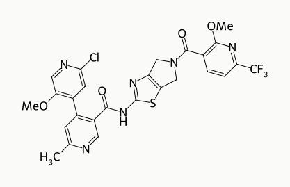 COc1cnc(Cl)cc1-c1cc(C)ncc1C(=O)Nc1nc2c(s1)CN(C(=O)c1ccc(C(F)(F)F)nc1OC)C2